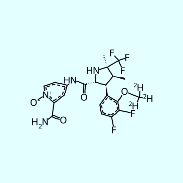 [2H]C([2H])([2H])Oc1c([C@H]2[C@H](C(=O)Nc3cc[n+]([O-])c(C(N)=O)c3)N[C@@](C)(C(F)(F)F)[C@H]2C)ccc(F)c1F